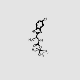 C[C@H](NC(=O)OC(C)(C)C)c1nc2cc(Cl)ccc2[nH]1